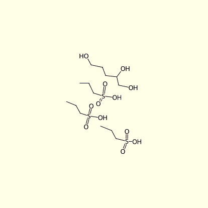 CCCS(=O)(=O)O.CCCS(=O)(=O)O.CCCS(=O)(=O)O.OCCCC(O)CO